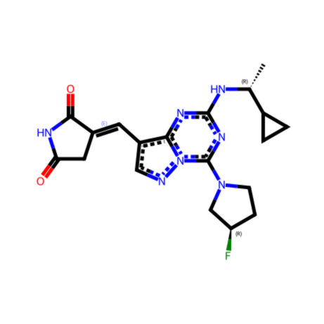 C[C@@H](Nc1nc(N2CC[C@@H](F)C2)n2ncc(/C=C3\CC(=O)NC3=O)c2n1)C1CC1